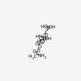 CC(N)C(=O)OCOC(=O)N1CC[C@H]2[C@@H]1CN[C@@]2(CCCCB(O)O)C(=O)O